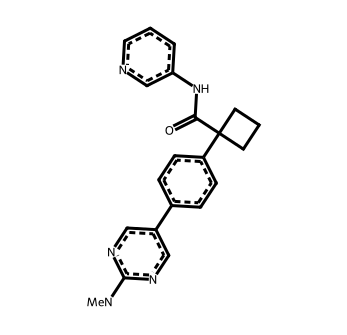 CNc1ncc(-c2ccc(C3(C(=O)Nc4cccnc4)CCC3)cc2)cn1